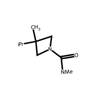 CNC(=O)N1CC(C)(C(C)C)C1